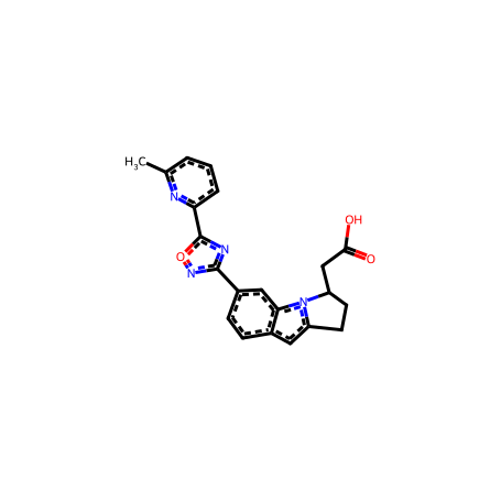 Cc1cccc(-c2nc(-c3ccc4cc5n(c4c3)C(CC(=O)O)CC5)no2)n1